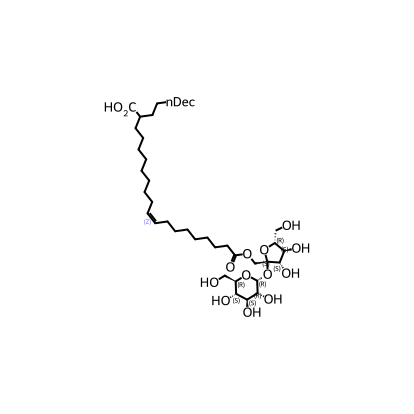 CCCCCCCCCCCCC(CCCCCCCC/C=C\CCCCCCCC(=O)OC[C@@]1(O[C@H]2O[C@H](CO)[C@@H](O)[C@H](O)[C@H]2O)O[C@H](CO)[C@@H](O)[C@@H]1O)C(=O)O